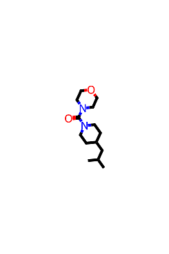 CC(C)CC1CCN(C(=O)N2CCOCC2)CC1